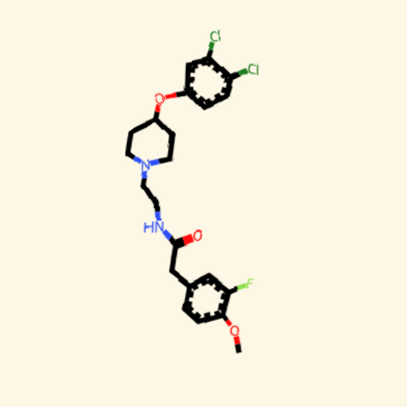 COc1ccc(CC(=O)NCCN2CCC(Oc3ccc(Cl)c(Cl)c3)CC2)cc1F